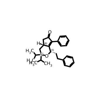 CC(C)[Si]1(C(C)C)C[C@@H]2CC(=O)C(c3ccccc3)=C2[C@H](CCc2ccccc2)O1